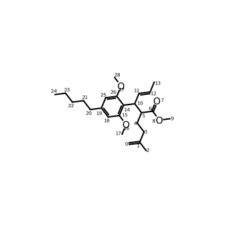 C=C(C)CCC(C(=O)OC)C(/C=C/C)c1c(OC)cc(CCCCC)cc1OC